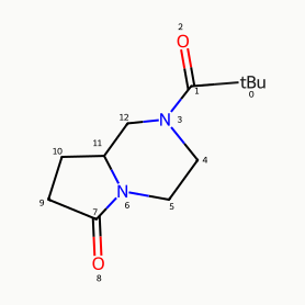 CC(C)(C)C(=O)N1CCN2C(=O)CCC2C1